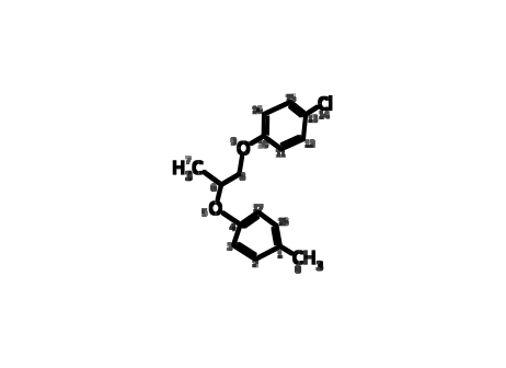 Cc1ccc(OC(C)COc2ccc(Cl)cc2)cc1